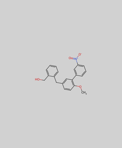 COc1ccc(Cc2ccccc2CO)cc1-c1cccc([N+](=O)[O-])c1